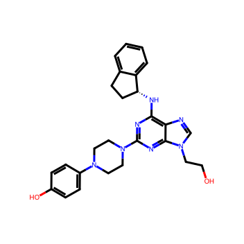 OCCn1cnc2c(N[C@@H]3CCc4ccccc43)nc(N3CCN(c4ccc(O)cc4)CC3)nc21